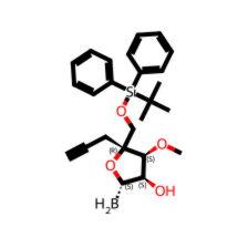 B[C@@H]1O[C@](CC#C)(CO[Si](c2ccccc2)(c2ccccc2)C(C)(C)C)[C@@H](OC)[C@H]1O